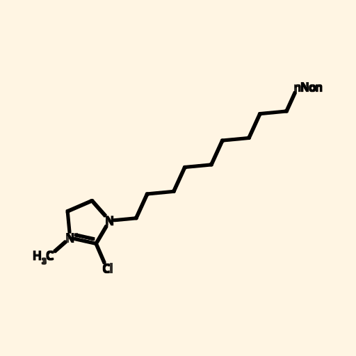 CCCCCCCCCCCCCCCCCCN1CC[N+](C)=C1Cl